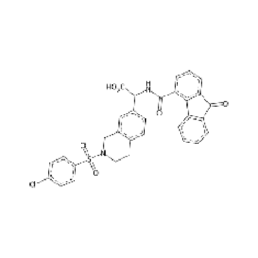 O=C(NC(C(=O)O)c1ccc2c(c1)CN(S(=O)(=O)c1ccc(Cl)cc1)CC2)c1cccc2c1-c1ccccc1C2=O